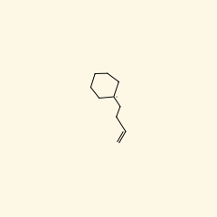 C=CCC[C]1CCCCC1